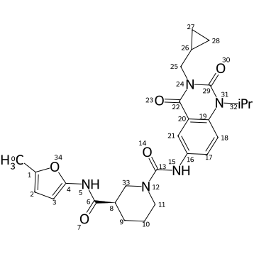 Cc1ccc(NC(=O)[C@@H]2CCCN(C(=O)Nc3ccc4c(c3)c(=O)n(CC3CC3)c(=O)n4C(C)C)C2)o1